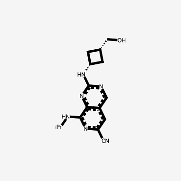 CC(C)Nc1nc(C#N)cc2cnc(N[C@H]3C[C@@H](CO)C3)nc12